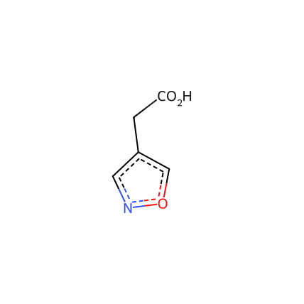 O=C(O)Cc1cnoc1